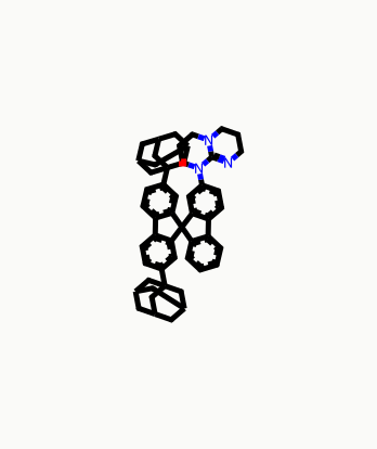 c1ccc2c(c1)-c1ccc(N3CCCN4CCCN=C43)cc1C21c2cc(C34CC5CC(CC(C5)C3)C4)ccc2-c2ccc(C34CC5CC(CC(C5)C3)C4)cc21